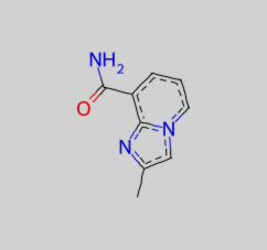 Cc1cn2cccc(C(N)=O)c2n1